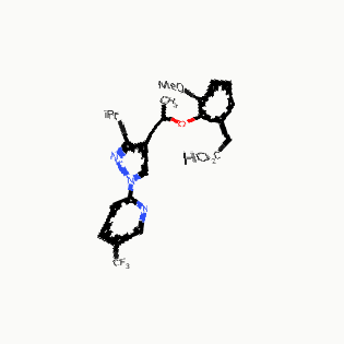 COc1cccc(CC(=O)O)c1OC(C)c1cn(-c2ccc(C(F)(F)F)cn2)nc1C(C)C